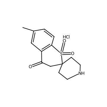 Cc1ccc2c(c1)C(=O)CC1(CCNCC1)S2(=O)=O.Cl